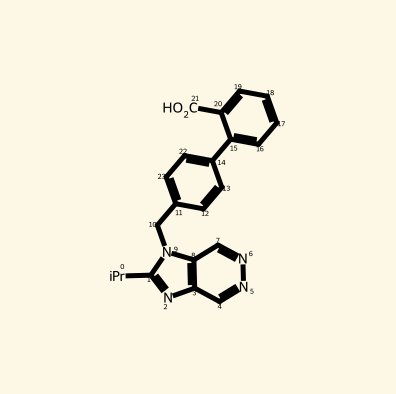 CC(C)c1nc2cnncc2n1Cc1ccc(-c2ccccc2C(=O)O)cc1